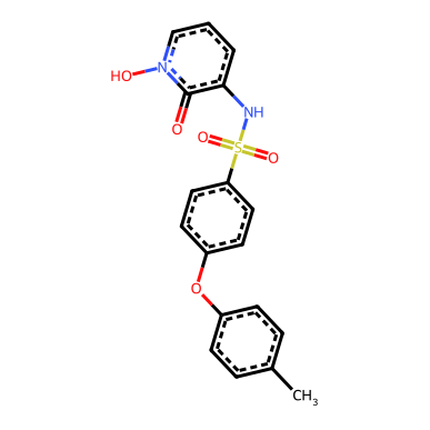 Cc1ccc(Oc2ccc(S(=O)(=O)Nc3cccn(O)c3=O)cc2)cc1